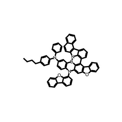 CCCCc1ccc(N(c2ccccc2)c2ccc3c(c2)B2c4c(cc5oc6ccccc6c5c4-c4cccc5c6c7ccccc7ccc6n2c45)N3c2cccc3c2oc2ccccc23)cc1